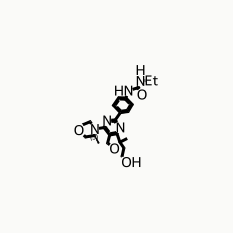 CCNC(=O)Nc1ccc(-c2nc(N3CCOC[C@@H]3C)c3c(n2)C(C)(CCO)OC3)cc1